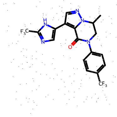 CC1CN(c2ccc(C(F)(F)F)cc2)C(=O)c2c(-c3cnc(C(F)(F)F)[nH]3)cnn21